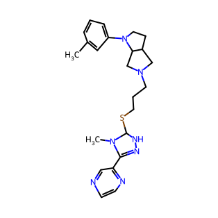 Cc1cccc(N2CCC3CN(CCCSC4NN=C(c5cnccn5)N4C)CC32)c1